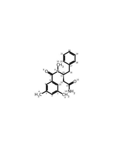 Cc1cc(C)cc(C(=O)N(C)[C@H](CC(N)=O)Cc2ccccc2)c1